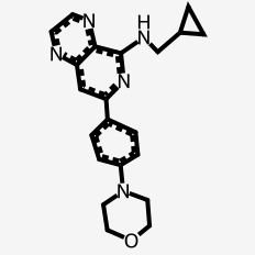 c1cnc2c(NCC3CC3)nc(-c3ccc(N4CCOCC4)cc3)cc2n1